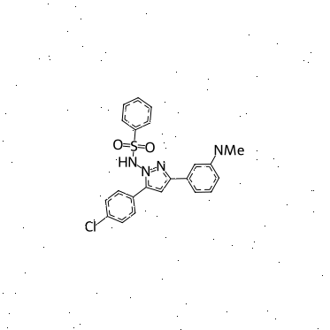 CNc1cccc(-c2cc(-c3ccc(Cl)cc3)n(NS(=O)(=O)c3ccccc3)n2)c1